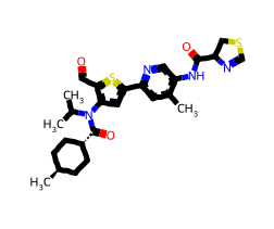 Cc1cc(-c2cc(N(C(=O)[C@H]3CC[C@H](C)CC3)C(C)C)c(C=O)s2)ncc1NC(=O)C1CSC=N1